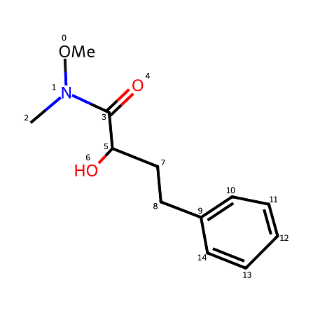 CON(C)C(=O)C(O)CCc1ccccc1